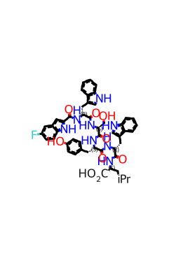 CC(C)C[C@H](NC(=O)[C@@H](Cc1c[nH]c2ccccc12)NC(=O)[C@H](Cc1ccc(O)cc1)NC(=O)[C@H](CO)NC(=O)[C@@H](Cc1c[nH]c2ccccc12)NC(=O)c1cc2cc(F)ccc2[nH]1)C(=O)O